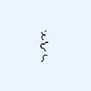 C=Cc1nc(C(=O)NC(CCC(=O)O)C(=O)O)ccc1NC(=O)Cc1c(N)nc(N)[nH]c1=O